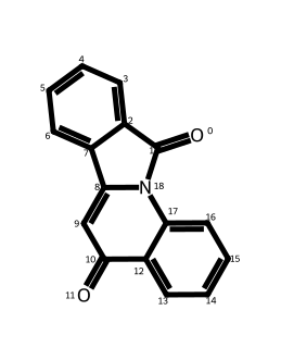 O=C1c2ccccc2-c2cc(=O)c3ccccc3n21